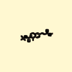 COC(=O)C=Cc1ccc2c(c1)CCN(C(=O)OC(C)(C)C)C2C